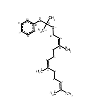 CC(C)=CCCC(C)=CCCC(C)=CCSC(C)(C)Sc1ccccc1